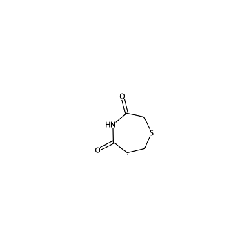 O=C1[CH]CSCC(=O)N1